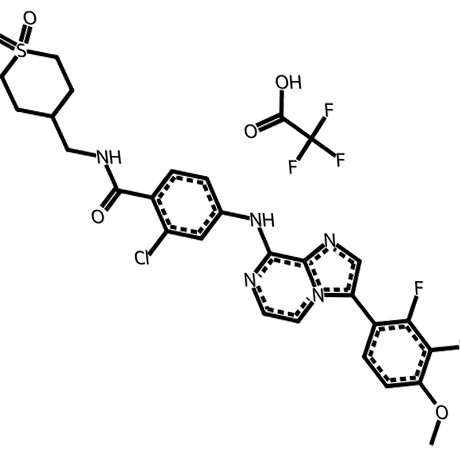 COc1ccc(-c2cnc3c(Nc4ccc(C(=O)NCC5CCS(=O)(=O)CC5)c(Cl)c4)nccn23)c(F)c1F.O=C(O)C(F)(F)F